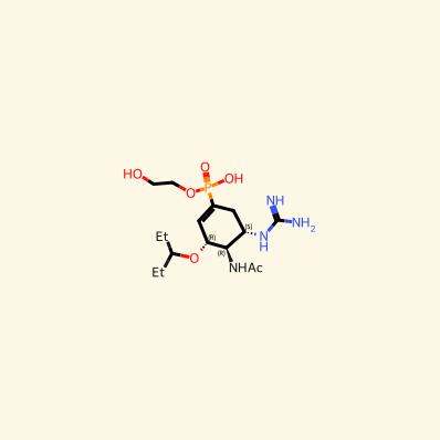 CCC(CC)O[C@@H]1C=C(P(=O)(O)OCCO)C[C@H](NC(=N)N)[C@H]1NC(C)=O